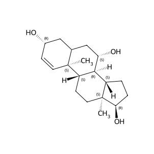 C[C@]12CC[C@H]3[C@@H]([C@@H](O)CC4C[C@@H](O)C=C[C@@]43C)[C@@H]1CC[C@H]2O